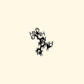 O=C1NC(=O)C(Cc2cnn3c(NC4CC4)cc(-c4ccnc(F)c4)nc23)N1